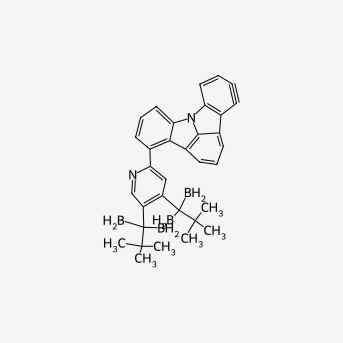 BC(B)(c1cnc(-c2cccc3c2c2cccc4c5c#cccc5n3c42)cc1C(B)(B)C(C)(C)C)C(C)(C)C